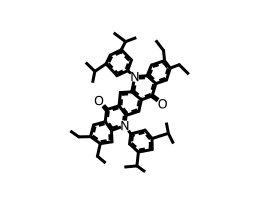 CCc1cc2c(=O)c3cc4c(cc3n(-c3cc(C(C)C)cc(C(C)C)c3)c2cc1CC)c(=O)c1cc(CC)c(CC)cc1n4-c1cc(C(C)C)cc(C(C)C)c1